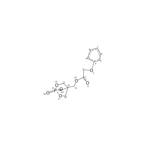 O=C(COc1ccccc1)OCC12COP(=O)(OC1)OC2